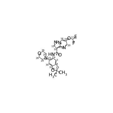 CC1(C)Cc2cc(NC(=O)c3cnn4cc(OC(F)F)cnc34)c(N3CCOCC3)cc2O1